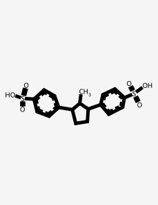 CC1C(c2ccc(S(=O)(=O)O)cc2)CCC1c1ccc(S(=O)(=O)O)cc1